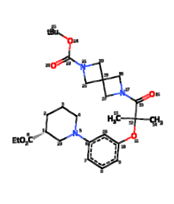 CCOC(=O)[C@@H]1CCCN(c2cccc(OC(C)(C)C(=O)N3CC4(CN(C(=O)OC(C)(C)C)C4)C3)c2)C1